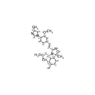 COc1cc(/C=C/C2=NOC(C)(c3ccc(F)cc3)N2CCC(C)C)ccc1-n1cnc(C)c1